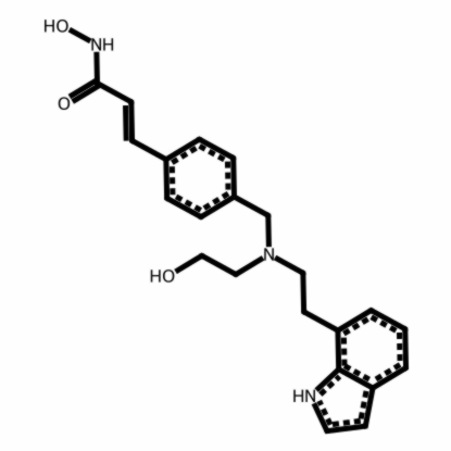 O=C(/C=C/c1ccc(CN(CCO)CCc2cccc3cc[nH]c23)cc1)NO